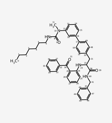 CCCCCCCNC(=O)N(C)c1cccc(-c2ccc(CC(Nc3ccccc3C(=O)c3ccccc3)C(=O)NCc3ccccc3)cc2)c1